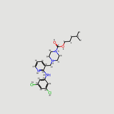 CC(C)CCCOC(=O)N1CCN(Cc2cccnc2Nc2cc(Cl)cc(Cl)c2)CC1